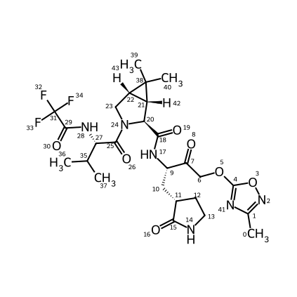 Cc1noc(OCC(=O)[C@H](C[C@@H]2CCNC2=O)NC(=O)[C@@H]2[C@@H]3[C@H](CN2C(=O)[C@@H](NC(=O)C(F)(F)F)C(C)C)C3(C)C)n1